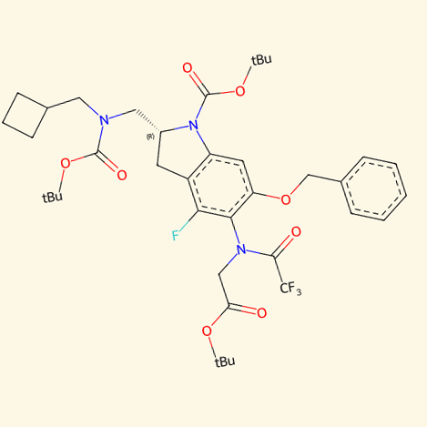 CC(C)(C)OC(=O)CN(C(=O)C(F)(F)F)c1c(OCc2ccccc2)cc2c(c1F)C[C@H](CN(CC1CCC1)C(=O)OC(C)(C)C)N2C(=O)OC(C)(C)C